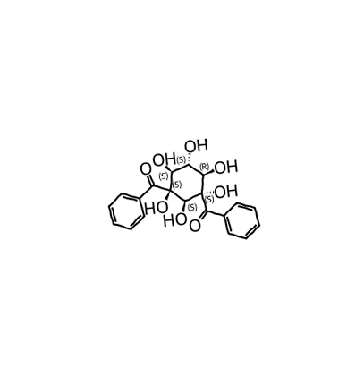 O=C(c1ccccc1)[C@@]1(O)[C@@H](O)[C@](O)(C(=O)c2ccccc2)[C@@H](O)[C@H](O)[C@H]1O